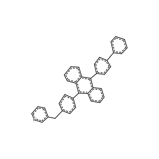 c1ccc(-c2ccc(-c3c4ccccc4c(-c4ccc(Cc5cccnc5)cc4)c4ccccc34)cc2)cc1